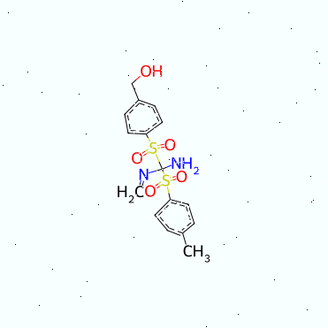 C=NC(N)(S(=O)(=O)c1ccc(C)cc1)S(=O)(=O)c1ccc(CO)cc1